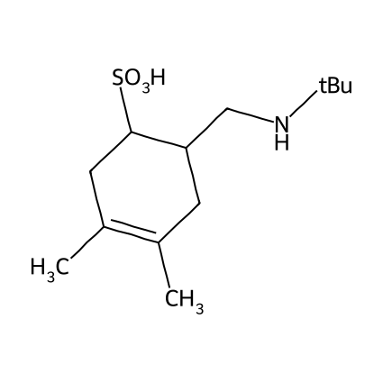 CC1=C(C)CC(S(=O)(=O)O)C(CNC(C)(C)C)C1